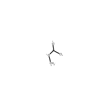 [CH2]OC(Cl)Cl